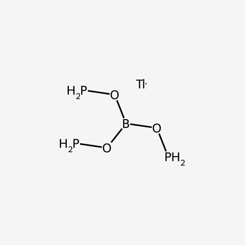 POB(OP)OP.[Tl]